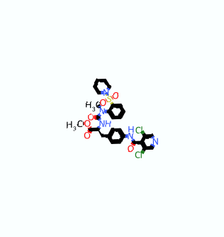 COC(=O)[C@H](Cc1ccc(NC(=O)c2c(Cl)cncc2Cl)cc1)NC(=O)N(C)c1ccccc1S(=O)(=O)N1CCCCC1